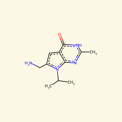 Cc1nc2c(cc(CN)n2C(C)C)c(=O)[nH]1